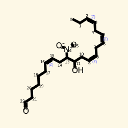 CC/C=C\C/C=C\C/C=C\CC(O)C(C/C=C\CCCCC[C]=O)[N+](=O)[O-]